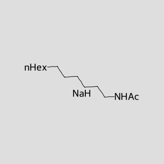 CCCCCCCCCCCCNC(C)=O.[NaH]